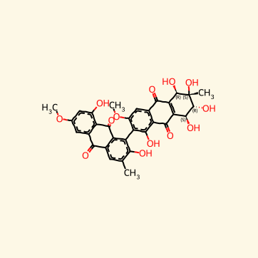 COc1cc(O)c2c(c1)C(=O)c1cc(C)c(O)c(-c3c(OC)cc4c(c3O)C(=O)C3=C(C4=O)[C@@H](O)[C@](C)(O)[C@H](O)[C@H]3O)c1C2=O